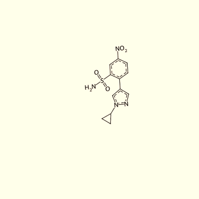 NS(=O)(=O)c1cc([N+](=O)[O-])ccc1-c1cnn(C2CC2)c1